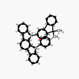 CC1(C)c2ccccc2-c2cc(-n3c4ccccc4c4ccc5c6ccccc6n(-c6ccccc6)c5c43)ccc21